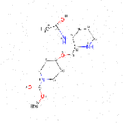 CC(C)(C)OC(=O)N1CCC(OCC2NCCCC2NC(=O)C(F)(F)F)CC1